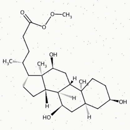 COOC(=O)CC[C@@H](C)[C@H]1CC[C@H]2[C@@H]3[C@H](O)C[C@@H]4C[C@H](O)CC[C@]4(C)[C@H]3C[C@H](O)[C@]12C